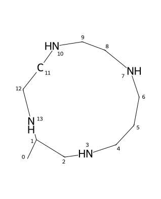 CC1CNCCCNCCNCCN1